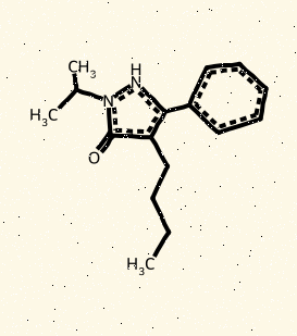 CCCCc1c(-c2ccccc2)[nH]n(C(C)C)c1=O